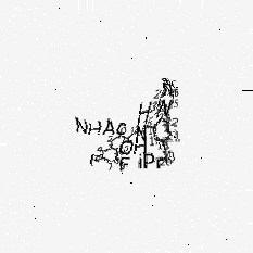 CC(=O)NC(Cc1cc(F)cc(F)c1)C(O)CNCc1cc(CC(C)C)ccc1N1CCN(C(C)=O)CC1